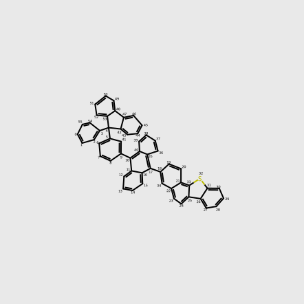 c1ccc(C2(c3cccc(-c4c5ccccc5c(-c5ccc6c(ccc7c8ccccc8sc67)c5)c5ccccc45)c3)c3ccccc3-c3ccccc32)cc1